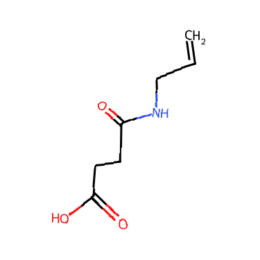 C=CCNC(=O)CCC(=O)O